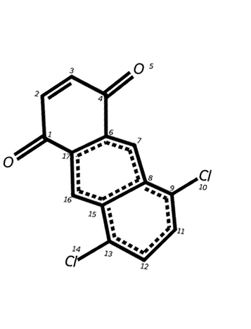 O=C1C=CC(=O)c2cc3c(Cl)ccc(Cl)c3cc21